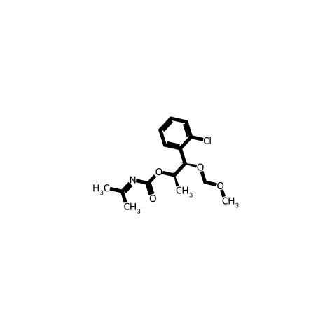 COCO[C@H](c1ccccc1Cl)[C@@H](C)OC(=O)N=C(C)C